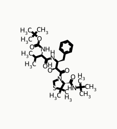 CC(C)[C@H](NC(=O)OC(C)(C)C)C(=O)N[C@@H](Cc1ccccc1)[C@H](O)C(=O)N1CSC(C)(C)[C@H]1C(=O)NC(C)(C)C